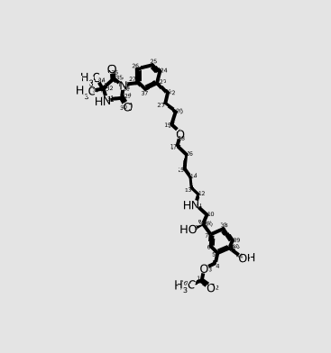 CC(=O)OCc1cc([C@@H](O)CNCCCCCCOCCCCc2cccc(N3C(=O)NC(C)(C)C3=O)c2)ccc1O